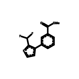 COC(=O)c1cccc(-c2ccsc2C(F)F)c1